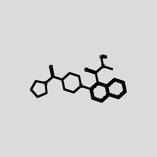 CCCCN(C)C(=O)c1c(N2CCC(C(=O)N3CCCC3)CC2)ccc2ccccc12